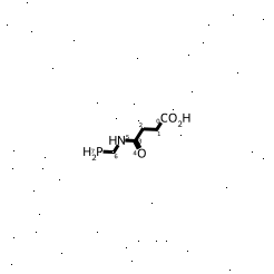 O=C(O)CCC(=O)NCP